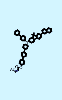 CC(=O)/C=C\C(=O)Oc1ccc(-c2ccc(-c3ccc(N(c4ccc(-c5ccccc5)cc4)c4ccc5c(c4)C(C)(C)c4cc(-c6ccc7ccccc7c6)ccc4-5)cc3)cc2)cc1